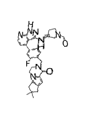 CC1(C)Cc2cc3n(c2C1)CCN(Cc1ccc(-c2ccnc4[nH]nc(N[C@@H]5CCN(C=O)C5)c24)cc1F)C3=O